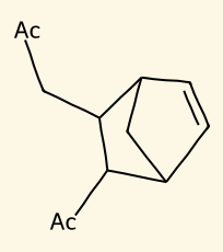 CC(=O)CC1C2C=CC(C2)C1C(C)=O